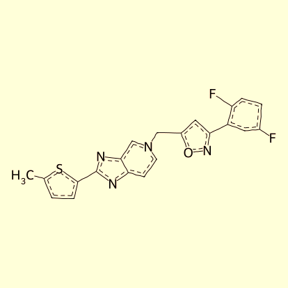 Cc1ccc(-c2nc3ccn(Cc4cc(-c5cc(F)ccc5F)no4)cc-3n2)s1